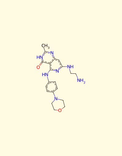 Cc1nc2cc(NCCN)nc(Nc3ccc(N4CCOCC4)cc3)c2c(=O)[nH]1